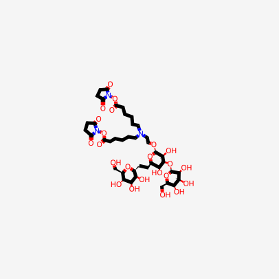 O=C(CCCCCN(CCCCCC(=O)ON1C(=O)CCC1=O)CCO[C@H]1O[C@H](CC[C@H]2O[C@H](CO)[C@@H](O)[C@H](O)[C@@H]2O)[C@@H](O)[C@H](O[C@H]2O[C@H](CO)[C@@H](O)[C@H](O)[C@@H]2O)[C@@H]1O)ON1C(=O)CCC1=O